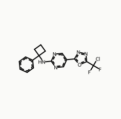 FC(F)(Cl)c1nnc(-c2cnc(NC3(c4ccccc4)CCC3)nc2)o1